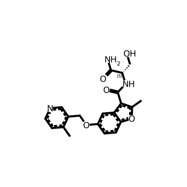 Cc1ccncc1COc1ccc2oc(C)c(C(=O)N[C@@H](CO)C(N)=O)c2c1